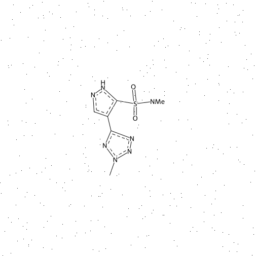 CNS(=O)(=O)c1[nH]ncc1-c1nnn(C)n1